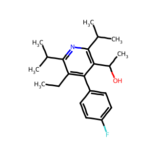 CCc1c(C(C)C)nc(C(C)C)c(C(C)O)c1-c1ccc(F)cc1